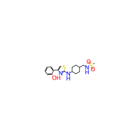 CS(=O)(=O)NCC1CCC(Nc2nc(-c3ccccc3O)cs2)CC1